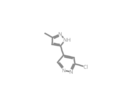 Cc1cc(-c2cnnc(Cl)c2)[nH]n1